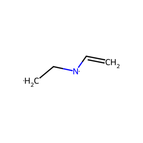 [CH2]C[N]C=C